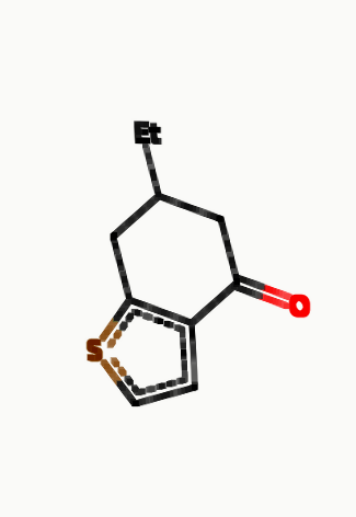 CCC1CC(=O)c2ccsc2C1